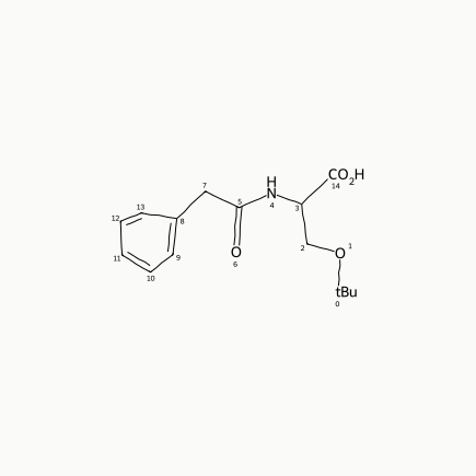 CC(C)(C)OCC(NC(=O)Cc1ccccc1)C(=O)O